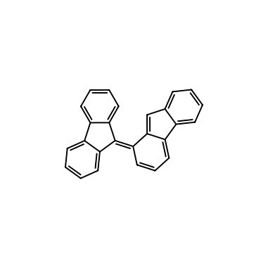 C1=c2c(cccc2=C2c3ccccc3-c3ccccc32)-c2ccccc21